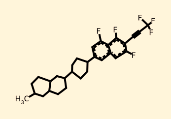 CC1CCC2CC(C3CCC(c4cc(F)c5c(F)c(C#CC(F)(F)F)c(F)cc5c4)CC3)CCC2C1